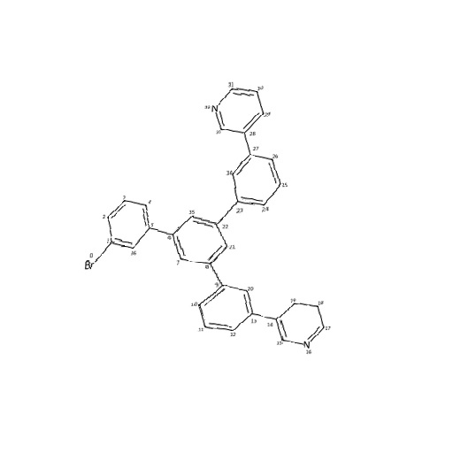 Brc1cccc(-c2cc(-c3cccc(C4=CN=CCC4)c3)cc(-c3cccc(-c4cccnc4)c3)c2)c1